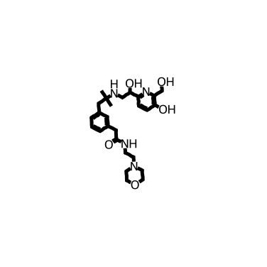 CC(C)(Cc1cccc(CC(=O)NCCN2CCOCC2)c1)NCC(O)c1ccc(O)c(CO)n1